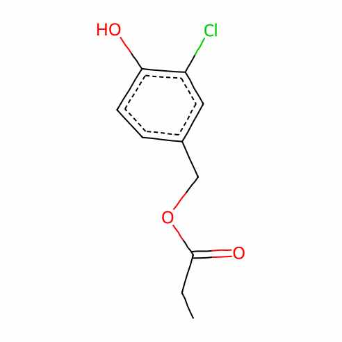 CCC(=O)OCc1ccc(O)c(Cl)c1